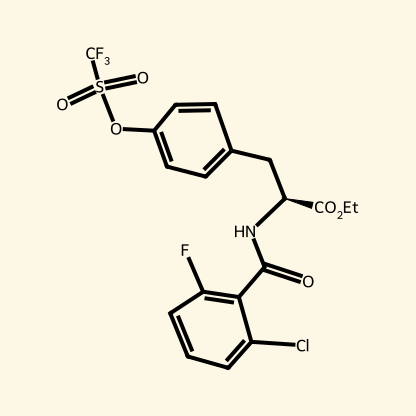 CCOC(=O)[C@H](Cc1ccc(OS(=O)(=O)C(F)(F)F)cc1)NC(=O)c1c(F)cccc1Cl